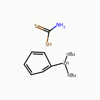 CCC[CH2][Zn]([CH2]CCC)[c]1ccccc1.NC(=S)S